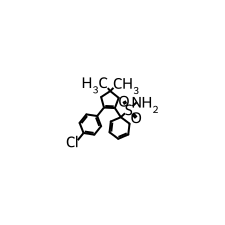 CC1(C)CC(c2ccc(Cl)cc2)=C(C2(S(N)(=O)=O)C=CC=CC2)C1